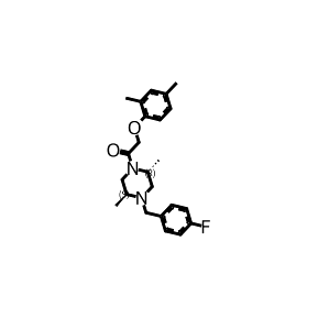 Cc1ccc(OCC(=O)N2C[C@H](C)N(Cc3ccc(F)cc3)C[C@H]2C)c(C)c1